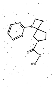 CC(C)(C)OC(=O)N1CCC2(CCN2c2ncccn2)C1